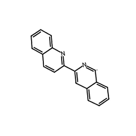 [c]1nc(-c2ccc3ccccc3n2)cc2ccccc12